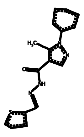 Cc1c(C(=O)NN=Cc2cccs2)cnn1-c1ccccc1